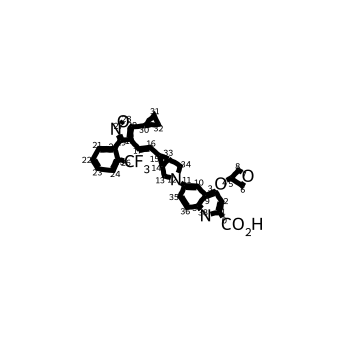 O=C(O)c1cc(OC2COC2)c2cc(N3CC4C(/C=C/c5c(-c6ccccc6C(F)(F)F)noc5C5CC5)C4C3)ccc2n1